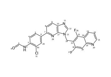 O=CNc1ccc(-c2ccc3ncn(Cc4c(F)cc5ncccc5c4F)c3n2)cc1Cl